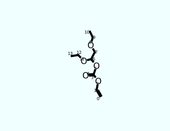 C=COC(=O)OC(COCC)OCC